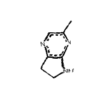 Cc1cnc2c(n1)NCC2